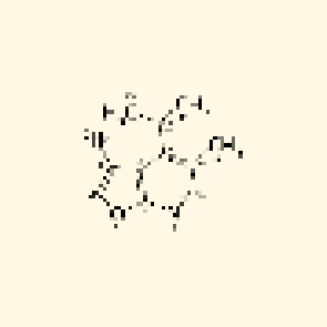 [2H]c1coc2ncc(C)c(C(C)C)c12